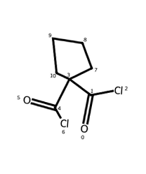 O=C(Cl)C1(C(=O)Cl)CCCC1